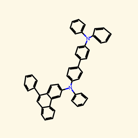 c1ccc(-c2cc3ccccc3c3cc(N(c4ccccc4)c4ccc(-c5ccc(N(c6ccccc6)c6ccccc6)cc5)cc4)ccc23)cc1